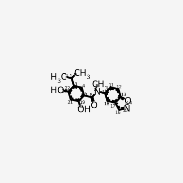 CC(C)c1cc(C(=O)N(C)c2ccc3oncc3c2)c(O)cc1O